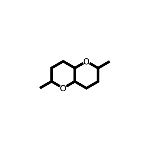 CC1CCC2OC(C)CCC2O1